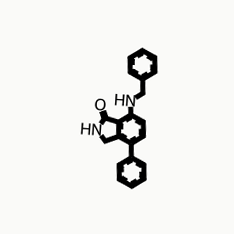 O=C1NCc2c(-c3ccccc3)ccc(NCc3ccccc3)c21